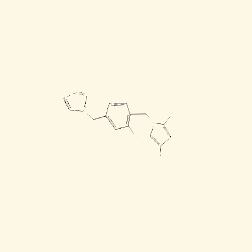 CCOC(=O)c1cc(C(=O)OCC)n(Cc2ccc(Cn3cccn3)cc2[N+](=O)[O-])c1